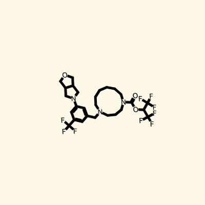 O=C(OC(C(F)(F)F)C(F)(F)F)N1CCCCCCN(Cc2cc(N3CC4COCC4C3)cc(C(F)(F)F)c2)CCC1